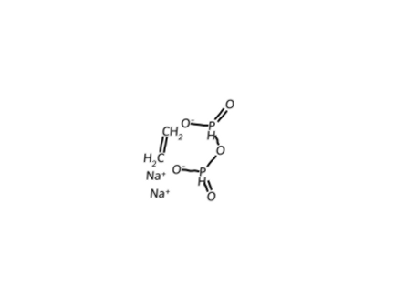 C=C.O=[PH]([O-])O[PH](=O)[O-].[Na+].[Na+]